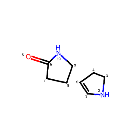 C1=CNCC1.O=C1CCCN1